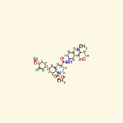 CCOc1ccc(-c2ccc3c(c2)C=C(C(=O)Nc2ccc(CN(C)C4CCOCC4)cc2)CCN3S(C)(=O)=O)cc1F